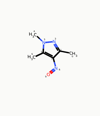 Cc1nn(C)c(C)c1N=O